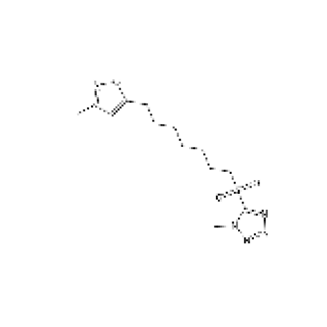 Cc1cc(CCCCCCCS(=O)(=O)c2nnnn2C)on1